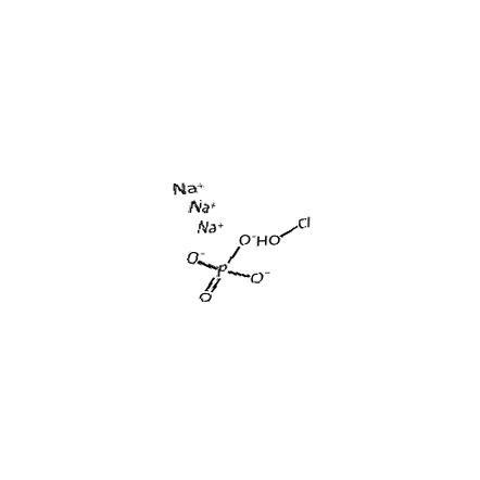 O=P([O-])([O-])[O-].OCl.[Na+].[Na+].[Na+]